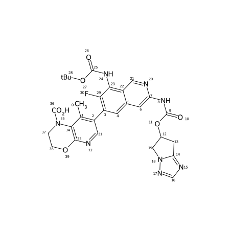 Cc1c(-c2cc3cc(NC(=O)OC4Cc5ncnn5C4)ncc3c(NC(=O)OC(C)(C)C)c2F)cnc2c1N(C(=O)O)CCO2